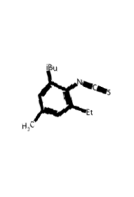 CCc1cc(C)cc(C(C)CC)c1N=C=S